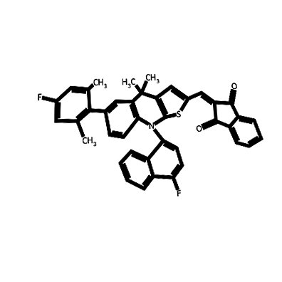 Cc1cc(F)cc(C)c1-c1ccc2c(c1)C(C)(C)c1cc(C=C3C(=O)c4ccccc4C3=O)sc1N2c1ccc(F)c2ccccc12